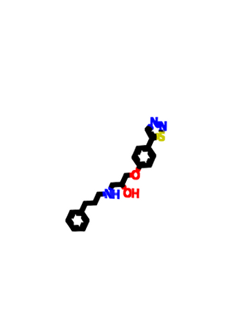 OC(CNCCCc1ccccc1)COc1ccc(-c2cnns2)cc1